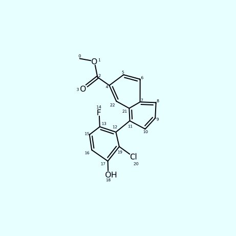 COC(=O)c1ccc2cccc(-c3c(F)ccc(O)c3Cl)c2c1